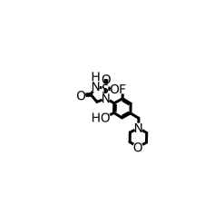 O=C1CN(c2c(O)cc(CN3CCOCC3)cc2F)S(=O)(=O)N1